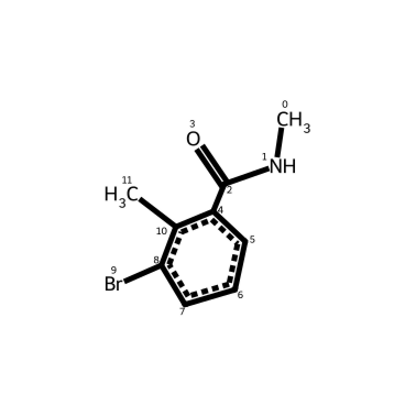 CNC(=O)c1cccc(Br)c1C